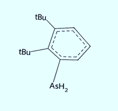 CC(C)(C)c1cccc([AsH2])c1C(C)(C)C